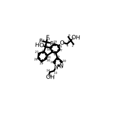 CC(C)(O)COc1cc(-c2cnn(CCO)c2)c2c(c1)C(O)(C(F)(F)F)c1ccccc1-2